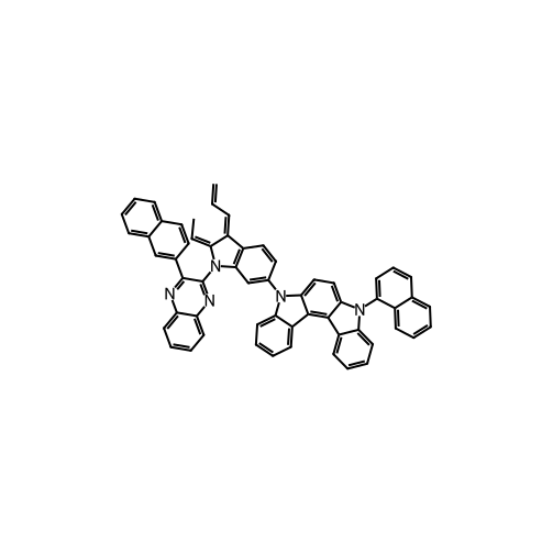 C=C/C=c1\c(=C/C)n(-c2nc3ccccc3nc2-c2ccc3ccccc3c2)c2cc(-n3c4ccccc4c4c5c6ccccc6n(-c6cccc7ccccc67)c5ccc43)ccc12